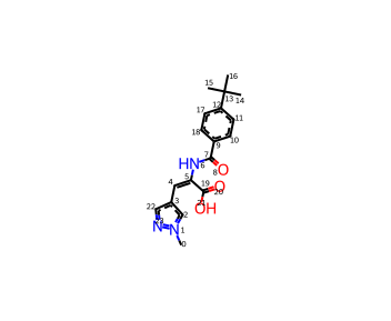 Cn1cc(/C=C(/NC(=O)c2ccc(C(C)(C)C)cc2)C(=O)O)cn1